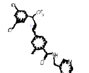 Cc1cc(/C=C/C(c2cc(Cl)cc(Cl)c2)C(F)(F)F)ccc1C(=O)NCc1cccnc1